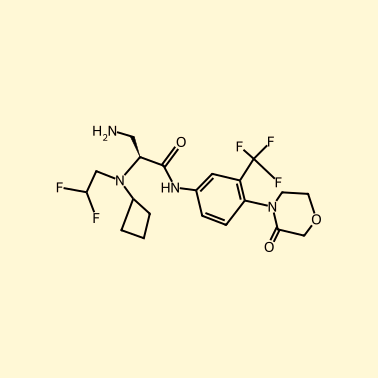 NC[C@@H](C(=O)Nc1ccc(N2CCOCC2=O)c(C(F)(F)F)c1)N(CC(F)F)C1CCC1